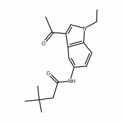 CCn1cc(C(C)=O)c2cc(NC(=O)CC(C)(C)C)ccc21